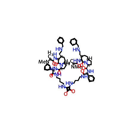 CN[C@@H](C)C(=O)N[C@@H]1C(=O)N2[C@@H](CC[C@@H]1CCNCc1ccccc1)CC[C@H]2C(=O)N[C@H](C(=O)NCCCCNc1c(NCCCCNC(=O)[C@@H](NC(=O)[C@@H]2CC[C@@H]3CC[C@H](CCNCc4ccccc4)[C@H](NC(=O)[C@H](C)NC)C(=O)N32)c2ccccc2)c(=O)c1=O)c1ccccc1